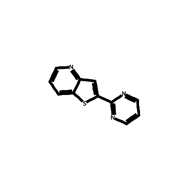 c1cnc(-c2cc3ncccc3s2)nc1